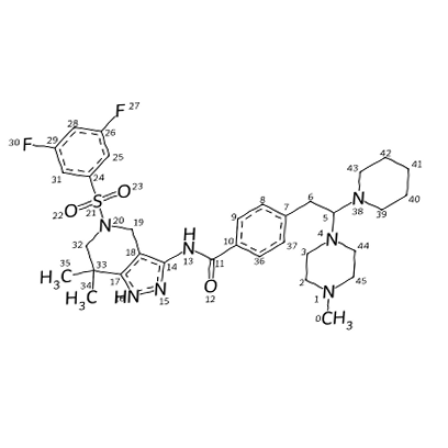 CN1CCN(C(Cc2ccc(C(=O)Nc3n[nH]c4c3CN(S(=O)(=O)c3cc(F)cc(F)c3)CC4(C)C)cc2)N2CCCCC2)CC1